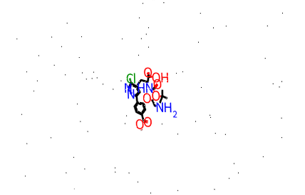 COC(=O)c1ccc(-c2cc(CC(NC(=O)OC(C)(C)C)C(=O)O)c(Cl)nn2)c(OCCN)c1